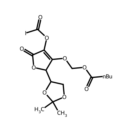 CCCCC(=O)OCOC1=C(OC(=O)I)C(=O)OC1C1COC(C)(C)O1